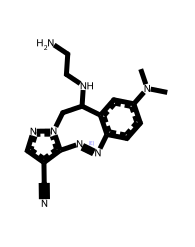 CN(C)c1ccc2c(c1)C(NCCN)Cn1ncc(C#N)c1/N=N/2